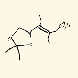 C/C(C(=O)O)=C(/C)C1COC(C)(C)O1